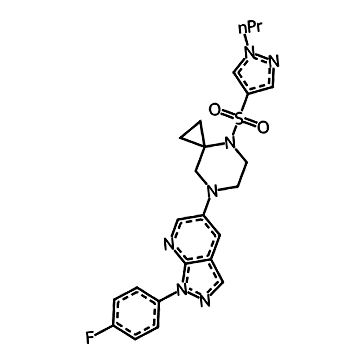 CCCn1cc(S(=O)(=O)N2CCN(c3cnc4c(cnn4-c4ccc(F)cc4)c3)CC23CC3)cn1